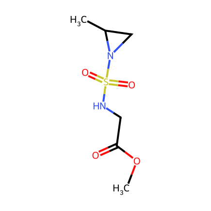 COC(=O)CNS(=O)(=O)N1CC1C